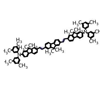 Cc1cc(C)cc(N(c2cc(C)cc(C)c2)c2ccc3c(c2)C(C)(C)c2cc(/C=C/c4ccc5c(c4)C(C)(C)c4cc(/C=C/c6ccc7c(c6)C(C)(C)c6cc(N(c8cc(C)cc(C)c8)c8cc(C)cc(C)c8)ccc6-7)ccc4-5)ccc2-3)c1